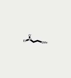 CC[S+]([O-])CCSC